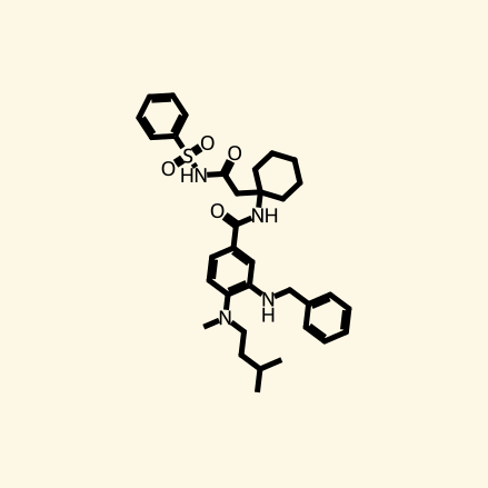 CC(C)CCN(C)c1ccc(C(=O)NC2(CC(=O)NS(=O)(=O)c3ccccc3)CCCCC2)cc1NCc1ccccc1